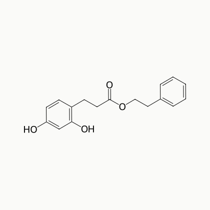 O=C(CCc1ccc(O)cc1O)OCCc1ccccc1